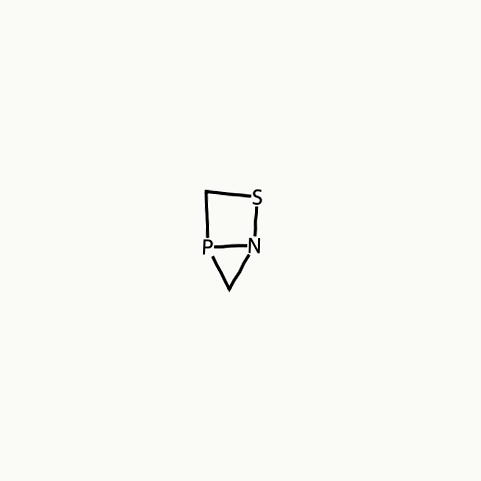 C1SN2CP12